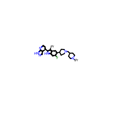 CC(C)c1c(-c2ccnc3[nH]ncc23)[nH]c2cc(F)c(C3CCN(CC4CCN(C(C)C)CC4)CC3)cc12